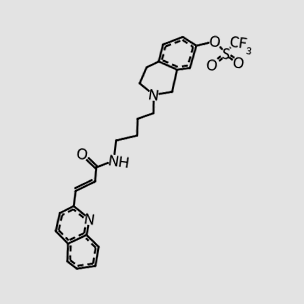 O=C(C=Cc1ccc2ccccc2n1)NCCCCN1CCc2ccc(OS(=O)(=O)C(F)(F)F)cc2C1